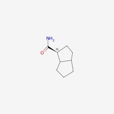 NC(=O)[C@H]1CCC2CCCC21